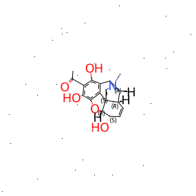 CC(=O)c1c(O)c2c3c(c1O)O[C@H]1[C@@H](O)C=C[C@H]4[C@@H](C2)N(C)CC[C@@]341